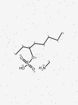 CCCCCC(CC)OS(=O)(=O)O.CN